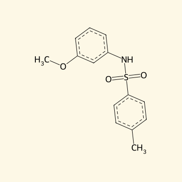 COc1cccc(NS(=O)(=O)c2ccc(C)cc2)c1